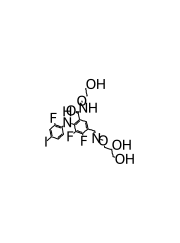 O=C(NOCCO)c1cc(C=NOCC(O)CO)c(F)c(F)c1Nc1ccc(I)cc1F